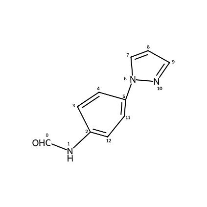 O=CNc1ccc(-n2cccn2)cc1